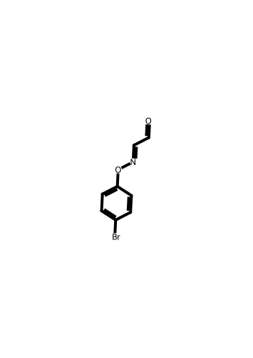 O=CC=NOc1ccc(Br)cc1